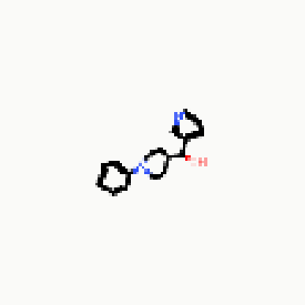 OC(c1cccnc1)C1CCN(c2ccccc2)CC1